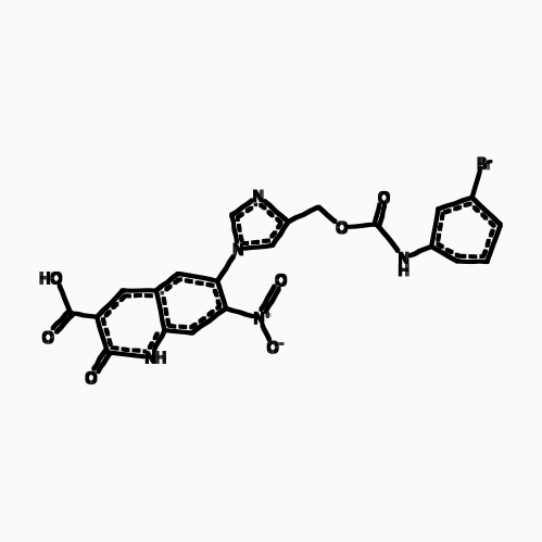 O=C(Nc1cccc(Br)c1)OCc1cn(-c2cc3cc(C(=O)O)c(=O)[nH]c3cc2[N+](=O)[O-])cn1